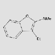 CCc1c(NC)oc2ccccc12